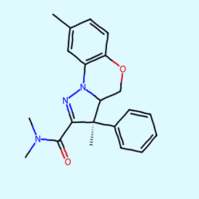 Cc1ccc2c(c1)N1N=C(C(=O)N(C)C)[C@](C)(c3ccccc3)C1CO2